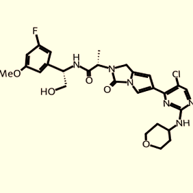 COc1cc(F)cc([C@@H](CO)NC(=O)[C@H](C)N2Cc3cc(-c4nc(NC5CCOCC5)ncc4Cl)cn3C2=O)c1